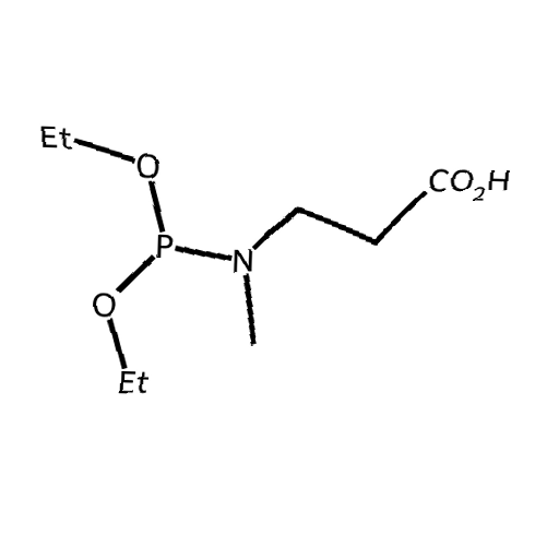 CCOP(OCC)N(C)CCC(=O)O